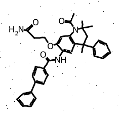 CC(=O)N1c2cc(OCCC(N)=O)c(NC(=O)c3ccc(-c4ccccc4)cc3)cc2C(C)(c2ccccc2)CC1(C)C